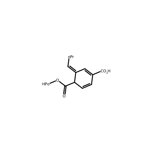 CCCC=C1C=C(C(=O)O)C=CC1C(=O)[O][PoH]